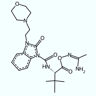 C/C(N)=N/OC(=O)[C@@H](NC(=O)n1c(=O)n(CCN2CCOCC2)c2ccccc21)C(C)(C)C